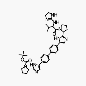 CC(C)[C@@H](NC1=NCCN1)C(=O)N1CCC[C@H]1c1ncc(-c2ccc(-c3ccc(-c4cnc([C@@H]5CCCN5C(=O)OC(C)(C)C)[nH]4)cc3)cc2)[nH]1